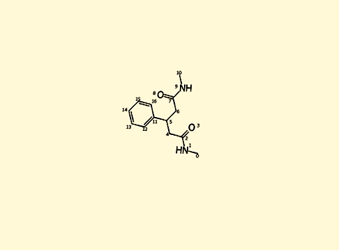 CNC(=O)CC(CC(=O)NC)c1ccccc1